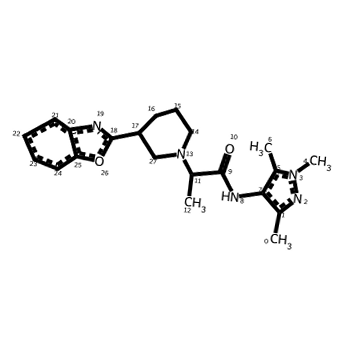 Cc1nn(C)c(C)c1NC(=O)C(C)N1CCCC(c2nc3ccccc3o2)C1